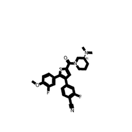 COc1ccc(-c2sc(C(=O)N3CCC[C@@H](N(C)C)C3)cc2-c2ccc(C#N)c(F)c2)cc1F